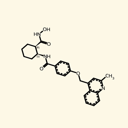 Cc1cc(COc2ccc(C(=O)N[C@H]3CCCC[C@H]3C(=O)NO)cc2)c2ccccc2n1